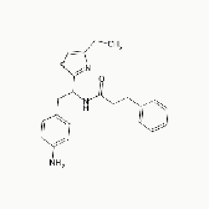 CCc1csc(C(Cc2ccc(N)cc2)NC(=O)CCc2ccccc2)n1